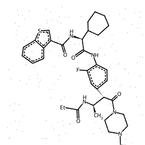 CCC(=O)N[C@H](C)[C@@H](C(=O)N1CCN(C)CC1)c1ccc(NC(=O)[C@@H](NC(=O)c2csc3ccccc23)C2CCCCC2)c(F)c1